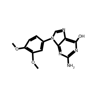 COc1ccc(-n2cnc3c(O)nc(N)nc32)cc1OC